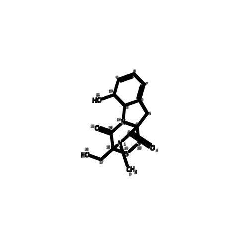 CN1C(=O)C23CC4=CC=CC(O)C4N2C(=O)C1(CO)SS3